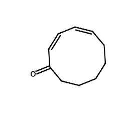 O=C1/C=C\C=C/CCCCC1